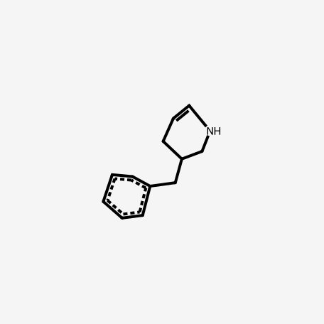 C1=CNCC(Cc2ccccc2)C1